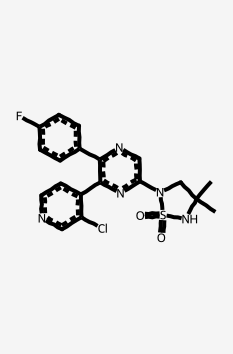 CC1(C)CN(c2cnc(-c3ccc(F)cc3)c(-c3ccncc3Cl)n2)S(=O)(=O)N1